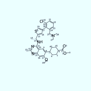 COC(=O)C1CCC(c2cc3c(N[C@H](C)c4cc(-c5c(Cl)cccc5CN(C)C)cs4)nc(C)nc3cc2OC)CC1